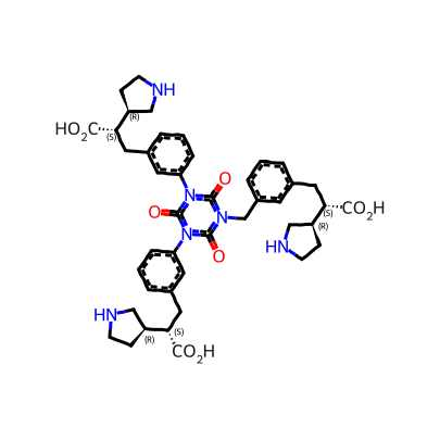 O=C(O)[C@@H](Cc1cccc(Cn2c(=O)n(-c3cccc(C[C@H](C(=O)O)[C@H]4CCNC4)c3)c(=O)n(-c3cccc(C[C@H](C(=O)O)[C@H]4CCNC4)c3)c2=O)c1)[C@H]1CCNC1